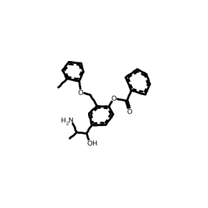 Cc1ccccc1OCc1cc(C(O)C(C)N)ccc1OC(=O)c1ccccc1